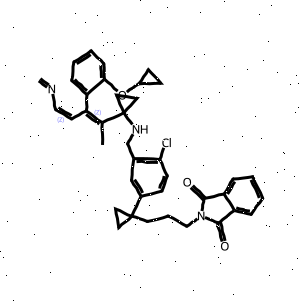 C=N/C=C\C(=C(/C)C1(NCc2cc(C3(CCCN4C(=O)c5ccccc5C4=O)CC3)ccc2Cl)CC1)c1ccccc1OC1CC1